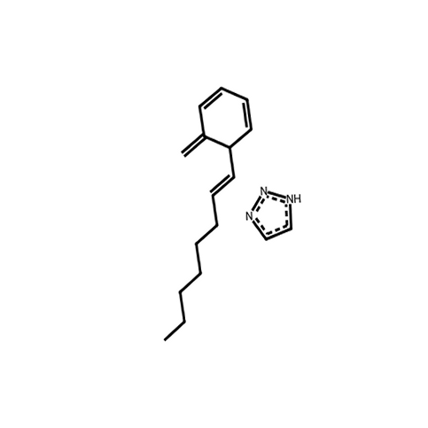 C=C1C=CC=CC1C=CCCCCCC.c1c[nH]nn1